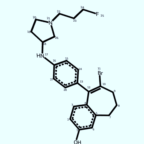 Oc1ccc2c(c1)CCCC(Br)=C2c1ccc(NC2CCN(CCCF)C2)cc1